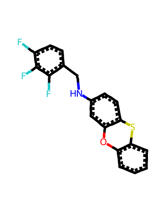 Fc1ccc(CNc2ccc3c(c2)Oc2ccccc2S3)c(F)c1F